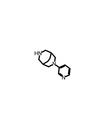 c1cncc(N2CC3CCC(CNC3)C2)c1